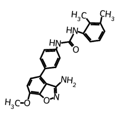 COc1ccc(-c2ccc(NC(=O)Nc3cccc(C)c3C)cc2)c2c(N)noc12